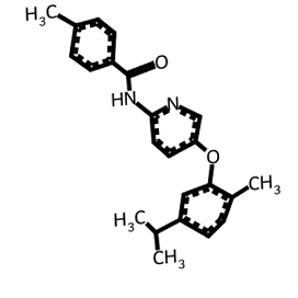 Cc1ccc(C(=O)Nc2ccc(Oc3cc(C(C)C)ccc3C)cn2)cc1